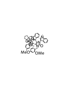 COc1ccc(Cn2c(C#N)c(-c3cn(CC4(NS(=O)(=O)c5ccc(C)cc5)CCCC4)c4ccccc34)n(-c3cn(C)c4ccccc34)c2=O)c(OC)c1